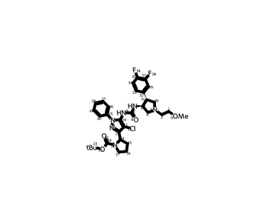 COCCN1C[C@@H](NC(=O)Nc2c(Cl)c(C3CCCN3C(=O)OC(C)(C)C)nn2-c2ccccc2)[C@H](c2ccc(F)c(F)c2)C1